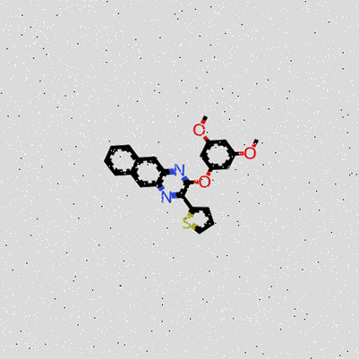 COc1cc(OC)cc(Oc2nc3cc4ccccc4cc3nc2-c2cccs2)c1